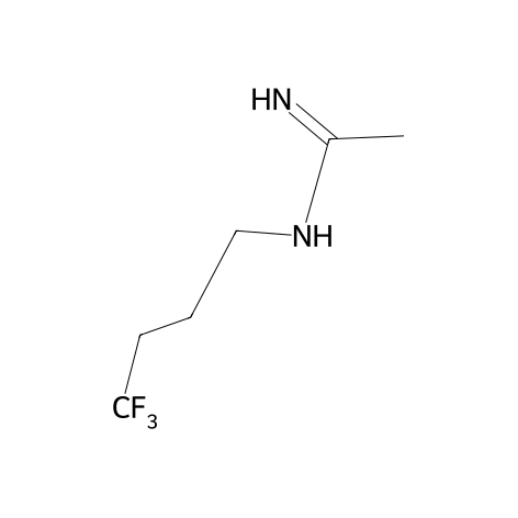 CC(=N)NCCCC(F)(F)F